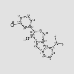 CN(C)c1cccc2sc3c(=O)n(-c4cccc(Cl)c4)cnc3c12